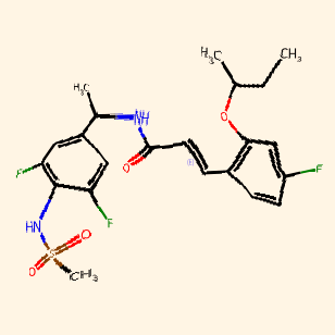 CCC(C)Oc1cc(F)ccc1/C=C/C(=O)NC(C)c1cc(F)c(NS(C)(=O)=O)c(F)c1